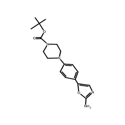 CC(C)(C)OC(=O)N1CCN(c2ccc(-c3cnc(N)o3)cc2)CC1